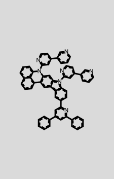 c1ccc(-c2cc(-c3ccccc3)nc(-c3ccc4c(c3)c3cc5c(cc3n4-c3cc(-c4cccnc4)ccn3)N(c3cc(-c4cccnc4)ccn3)c3cccc4cccc-5c34)c2)cc1